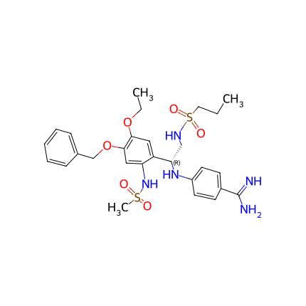 CCCS(=O)(=O)NC[C@H](Nc1ccc(C(=N)N)cc1)c1cc(OCC)c(OCc2ccccc2)cc1NS(C)(=O)=O